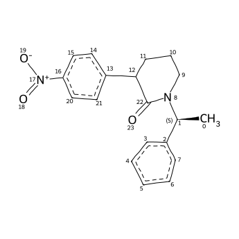 C[C@@H](c1ccccc1)N1CCCC(c2ccc([N+](=O)[O-])cc2)C1=O